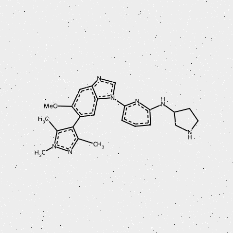 COc1cc2ncn(-c3cccc(NC4CCNC4)n3)c2cc1-c1c(C)nn(C)c1C